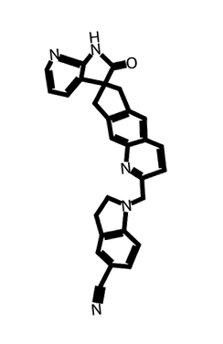 N#Cc1ccc2c(c1)CCN2Cc1ccc2cc3c(cc2n1)CC1(C3)C(=O)Nc2ncccc21